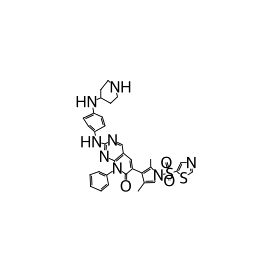 Cc1cn(S(=O)(=O)c2cncs2)c(C)c1-c1cc2cnc(Nc3ccc(NC4CCNCC4)cc3)nc2n(-c2ccccc2)c1=O